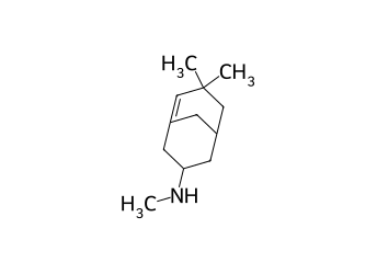 CNC1CC2=CC(C)(C)CC(C2)C1